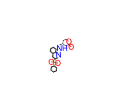 O=C1CC(CNc2cccc3cc(S(=O)(=O)c4ccccc4)cnc23)CCO1